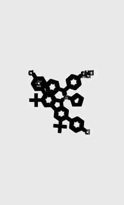 CC(C)(C)c1cc2c(cc1-c1ccc(Cl)cc1)[CH]([Zr]([C]1=CC=CC1)=[C](c1ccc(Cl)cc1)c1ccc(Cl)cc1)c1cc(-c3ccc(Cl)cc3)c(C(C)(C)C)cc1-2.Cl.Cl